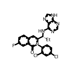 CC[C@@H](Nc1ncnc2[nH]cnc12)c1cc2ccc(F)cc2c(=O)n1-c1ccc(Cl)cc1Cl